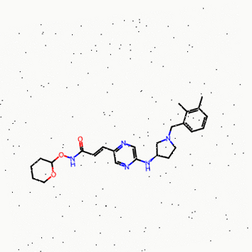 Cc1cccc(CN2CC[C@@H](Nc3cnc(/C=C/C(=O)NOC4CCCCO4)cn3)C2)c1C